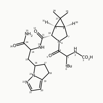 CC(C)(C)C(NC(=O)O)C(=O)N1C[C@H]2[C@@H]([C@H]1C(=O)NC(CC1CCc3ccnn31)C(N)=O)C2(C)C